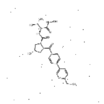 CCc1ccc(-c2ccc(C(=O)N3C[C@H](O)C[C@H]3C(=O)N[C@H](C(=O)NO)[C@@H](C)O)cc2)cc1